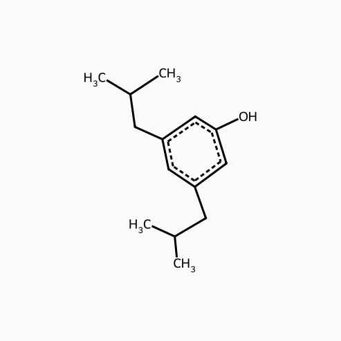 CC(C)Cc1cc(O)cc(CC(C)C)c1